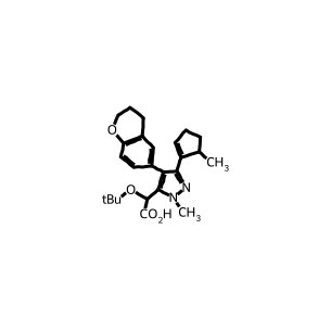 CC1CCC=C1c1nn(C)c(C(OC(C)(C)C)C(=O)O)c1-c1ccc2c(c1)CCCO2